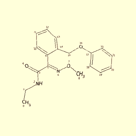 CCNC(=O)/C(=N/OC)c1ccccc1COc1ccccc1